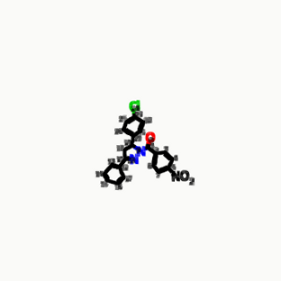 O=C(c1ccc([N+](=O)[O-])cc1)N1N=C(c2ccccc2)CC1c1ccc(Cl)cc1